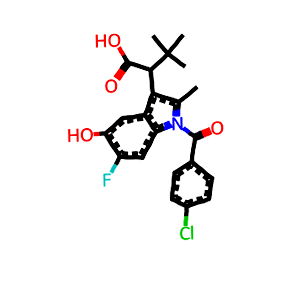 Cc1c(C(C(=O)O)C(C)(C)C)c2cc(O)c(F)cc2n1C(=O)c1ccc(Cl)cc1